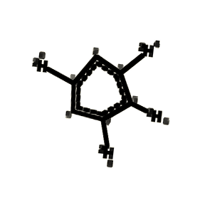 [2H]c1cc([2H])c([2H])c([2H])c1